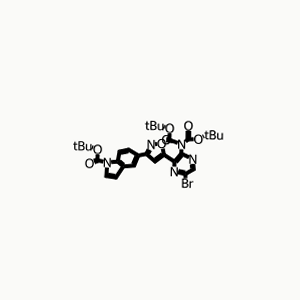 CC(C)(C)OC(=O)N(C(=O)OC(C)(C)C)c1ncc(Br)nc1-c1cc(-c2ccc3c(ccn3C(=O)OC(C)(C)C)c2)no1